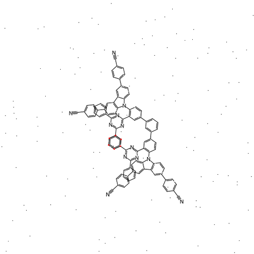 N#Cc1ccc(-c2ccc3c(c2)c2cc(-c4ccc(C#N)cc4)ccc2n3-c2ccc(-c3cccc(-c4ccc(-n5c6ccc(-c7ccc(C#N)cc7)cc6c6cc(-c7ccc(C#N)cc7)ccc65)c(-c5nc(-c6ccccc6)nc(-c6ccccc6)n5)c4)c3)cc2-c2nc(-c3ccccc3)nc(-c3ccccc3)n2)cc1